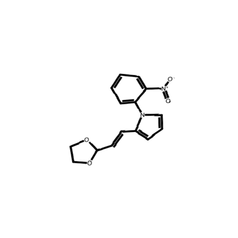 O=[N+]([O-])c1ccccc1-n1cccc1C=CC1OCCO1